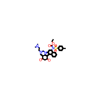 CCOC(=O)N(c1cc2c(c3c4n2CN(CCN(C)C)C=C4C(=O)CC3=O)c2ccccc12)S(=O)(=O)c1ccc(C)cc1